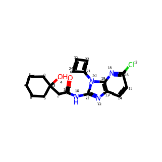 O=C(CC1(O)CCCCC1)Nc1nc2ccc(Cl)nc2n1C1=CC=C1